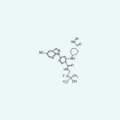 CC(C)NC(=O)[C@H]1CC[C@H](Nc2cc(-n3ncc4cc(C#N)cnc43)ncc2C(=O)NC[C@@H](F)C(C)(C)O)CC1